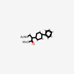 COC(=O)C(CNC(C)=O)C1CCC(c2ccccc2)CC1